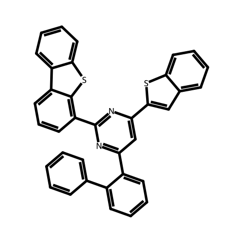 c1ccc(-c2ccccc2-c2cc(-c3cc4ccccc4s3)nc(-c3cccc4c3sc3ccccc34)n2)cc1